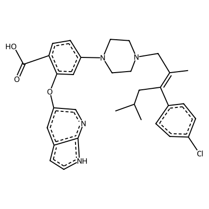 CC(CN1CCN(c2ccc(C(=O)O)c(Oc3cnc4[nH]ccc4c3)c2)CC1)=C(CC(C)C)c1ccc(Cl)cc1